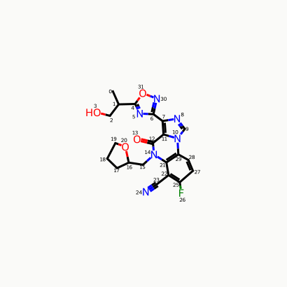 CC(CO)c1nc(-c2ncn3c2c(=O)n(CC2CCCO2)c2c(C#N)c(F)ccc23)no1